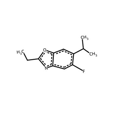 CCc1nc2cc(F)c(C(C)C)cc2o1